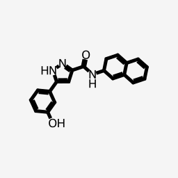 O=C(NC1C=c2ccccc2=CC1)c1cc(-c2cccc(O)c2)[nH]n1